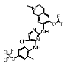 Cc1cc(OS(=O)(=O)F)ccc1Nc1nc(Nc2cc3c(cc2OC(F)F)CCN(C)C3)ncc1Cl